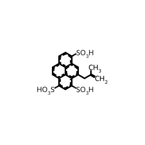 C=C(C)Cc1cc2c(S(=O)(=O)O)ccc3ccc4c(S(=O)(=O)O)cc(S(=O)(=O)O)c1c4c32